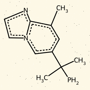 Cc1cc(C(C)(C)P)cn2ccnc12